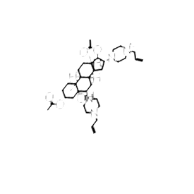 C=CCN1CCN([C@@H]2C[C@H]3[C@@H]4C[C@H](N5CC[N+](C)(CC=C)CC5)[C@H](OC(C)=O)[C@@]4(C)CC[C@@H]3[C@@]3(C)CC[C@H](OC(C)=O)C[C@]23O)CC1